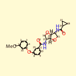 COc1cccc(Oc2cccc(C(=O)N[C@H]3CO[C@H]4[C@@H]3OC[C@@H]4NC(=O)C3CC3)c2)c1